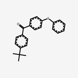 CC(C)(C)c1ccc(C(=O)c2ccc(Sc3ccccc3)cc2)cc1